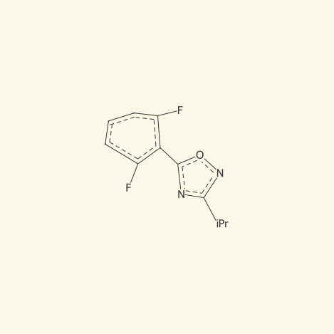 CC(C)c1noc(-c2c(F)cccc2F)n1